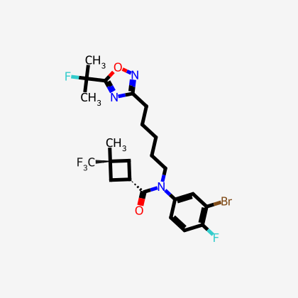 CC(C)(F)c1nc(CCCCCN(c2ccc(F)c(Br)c2)C(=O)[C@H]2C[C@](C)(C(F)(F)F)C2)no1